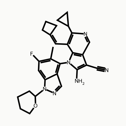 Cc1c(F)cc2c(cnn2C2CCCCO2)c1-n1c(N)c(C#N)c2cnc(C3CC3)c(C=C3CCC3)c21